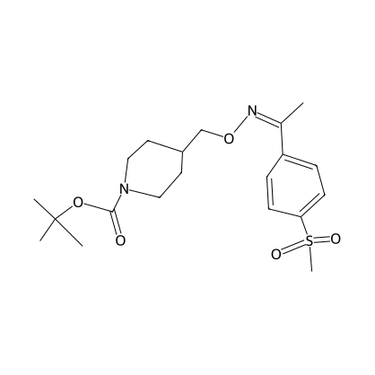 C/C(=N/OCC1CCN(C(=O)OC(C)(C)C)CC1)c1ccc(S(C)(=O)=O)cc1